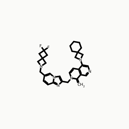 C=C1c2cncc(N3CC4(CCCCC4)C3)c2C=CN1Cc1cn2cc(CN3CC4(C3)CC(F)(F)C4)ccc2n1